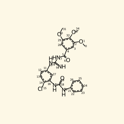 COc1cc(C(=O)NC(=N)Nc2ccc(Cl)c(NC(=O)Nc3ccccc3)c2)cc(OC)c1OC